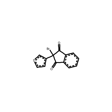 O=C1c2ccccc2C(=O)C1(Br)c1ccsc1